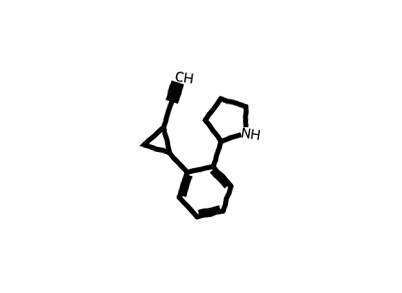 C#CC1CC1c1ccccc1C1CCCN1